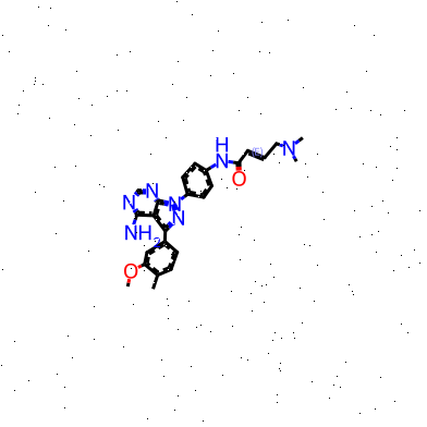 COc1cc(-c2nn(-c3ccc(NC(=O)/C=C/CN(C)C)cc3)c3ncnc(N)c23)ccc1C